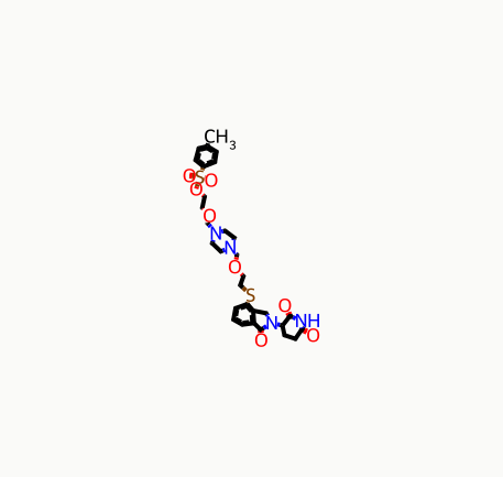 Cc1ccc(S(=O)(=O)OCCOCN2CCN(COCCSc3cccc4c3CN(C3CCC(=O)NC3=O)C4=O)CC2)cc1